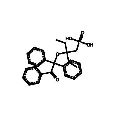 CCC(CC)(CP(=O)(O)O)OC(C(=O)c1ccccc1)(c1ccccc1)c1ccccc1